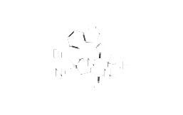 CN1C(=O)C2C[C@](C)(C#N)[C@H](c3c(Br)ccc4c3OCO4)N2C(=O)C1(C)S